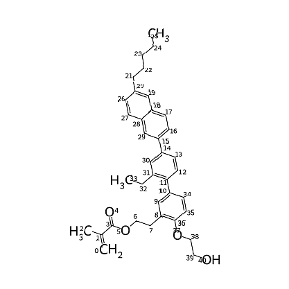 C=C(C)C(=O)OCCc1cc(-c2ccc(-c3ccc4cc(CCCCC)ccc4c3)cc2CC)ccc1OCCO